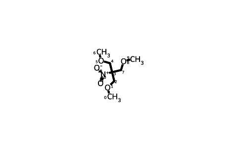 COCC(COC)(COC)[N+](=O)[O-]